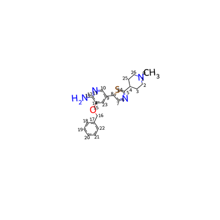 CN1CCC(c2ncc(-c3cnc(N)c(OCc4ccccc4)c3)s2)CC1